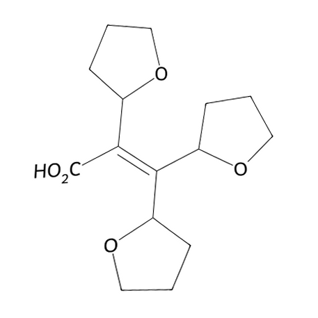 O=C(O)C(=C(C1CCCO1)C1CCCO1)C1CCCO1